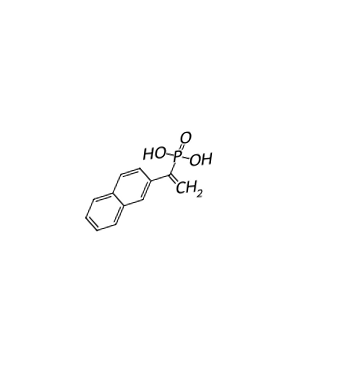 C=C(c1ccc2ccccc2c1)P(=O)(O)O